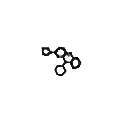 Nc1ccccc1N(c1cccc(-n2cccc2)c1)C1CCCCC1